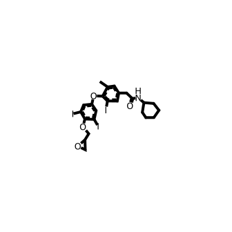 Cc1cc(CC(=O)NC2CCCCC2)cc(I)c1Oc1cc(I)c(OCC2CO2)c(I)c1